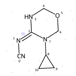 N#C/N=C1/NCOCN1C1CC1